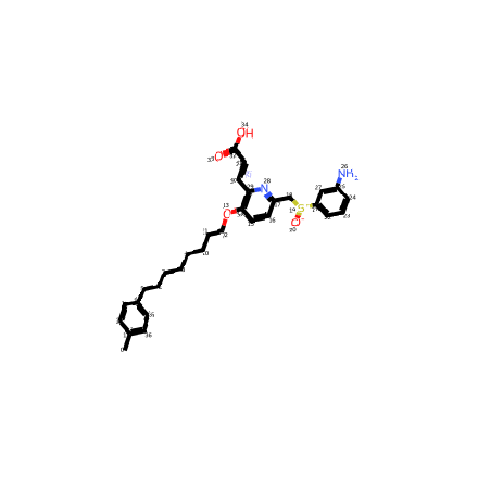 Cc1ccc(CCCCCCCCOc2ccc(C[S+]([O-])c3cccc(N)c3)nc2/C=C/C(=O)O)cc1